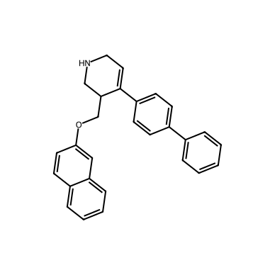 C1=C(c2ccc(-c3ccccc3)cc2)C(COc2ccc3ccccc3c2)CNC1